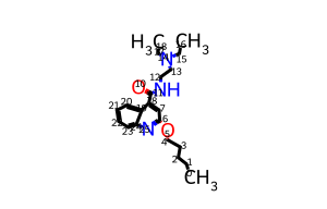 CCCCCOc1cc(C(=O)NCCN(CC)CC)c2ccccc2n1